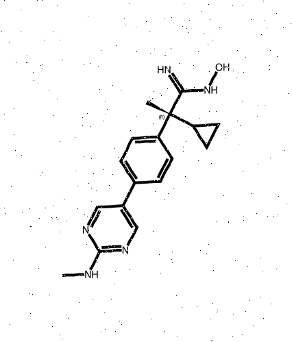 CNc1ncc(-c2ccc([C@](C)(C(=N)NO)C3CC3)cc2)cn1